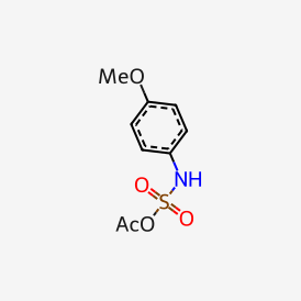 COc1ccc(NS(=O)(=O)OC(C)=O)cc1